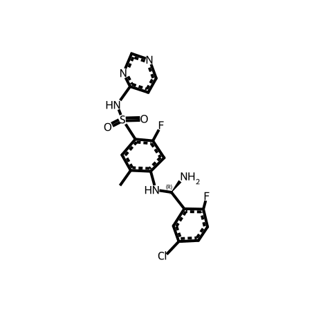 Cc1cc(S(=O)(=O)Nc2ccncn2)c(F)cc1N[C@@H](N)c1cc(Cl)ccc1F